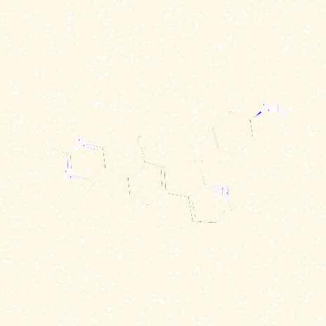 Cc1ncc(-c2ccc(-c3cccnc3O[C@H]3CC[C@H](N)CC3)cc2F)cn1